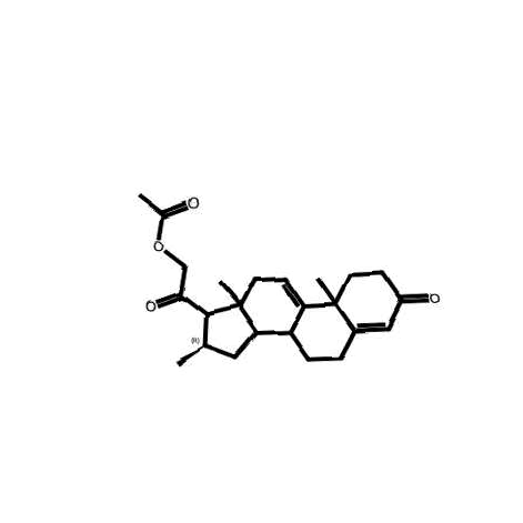 CC(=O)OCC(=O)C1[C@H](C)CC2C3CCC4=CC(=O)CCC4(C)C3=CCC21C